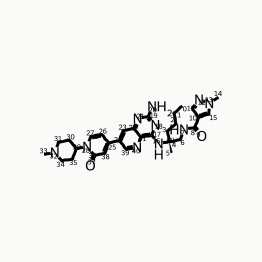 CCCC[C@](C)(CNC(=O)c1cnn(C)c1)Nc1nc(N)nc2cc(-c3ccn(C4CCN(C)CC4)c(=O)c3)cnc12